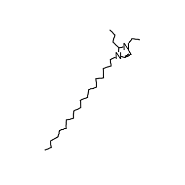 CCCCCCCCCCCCCCCCCCCN1C=CN(CC)C1CCC